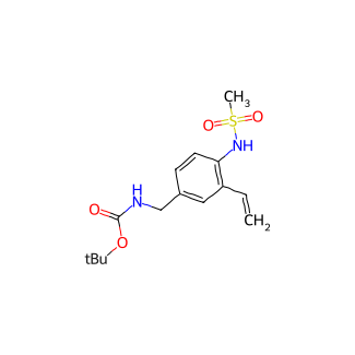 C=Cc1cc(CNC(=O)OC(C)(C)C)ccc1NS(C)(=O)=O